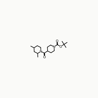 CC1CCN(C(=O)C2CCN(C(=O)OC(C)(C)C)CC2)C(C)C1